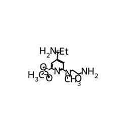 CC[C@H](N)c1cc(N(C)CC(N)=O)nc(S(C)(=O)=O)c1